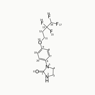 O=C1NCCN1c1ccc(OCCC(F)(F)C(F)F)cc1